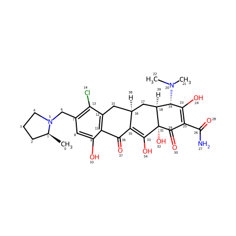 C[C@H]1CCCN1Cc1cc(O)c2c(c1Cl)C[C@H]1C[C@H]3[C@H](N(C)C)C(O)=C(C(N)=O)C(=O)[C@@]3(O)C(O)=C1C2=O